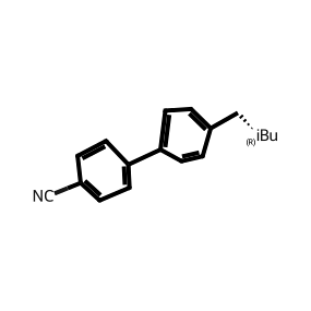 CC[C@@H](C)Cc1ccc(-c2ccc(C#N)cc2)cc1